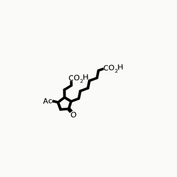 CC(=O)C1CC(=O)C(CCCCCCC(=O)O)C1CCC(=O)O